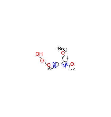 C[C@H](Cn1cc(-c2nn(C3CCCCO3)c3ccc(O[Si](C)(C)C(C)(C)C)cc23)cn1)OCCOCCO